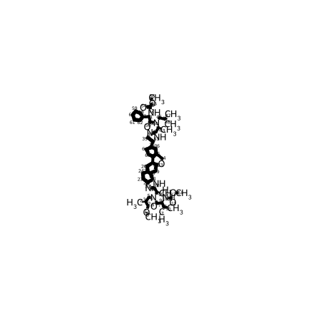 COC[C@@H](C)CN(C(=O)[C@@H](NC(=O)OC)C(C)C)[C@@H](C)c1nc2ccc3cc4c(cc3c2[nH]1)OCc1cc(-c2cnc([C@H](C)N(CC(C)C)C(=O)[C@H](NC(=O)OC)c3ccccc3)[nH]2)ccc1-4